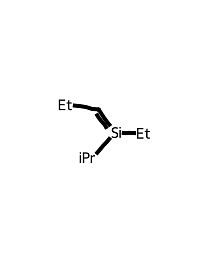 [CH2]CC=[Si](CC)C(C)C